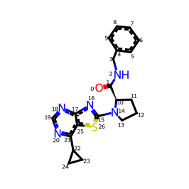 O=C(NCc1ccccc1)[C@H]1CCCN1c1nc2ncnc(C3CC3)c2s1